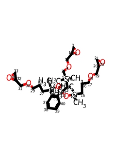 C[Si](C)(COCC1CO1)C[Si](O[Si](C)(C)CCCOCC1CO1)(O[Si](C)(C)CCCOCC1CO1)c1ccccc1